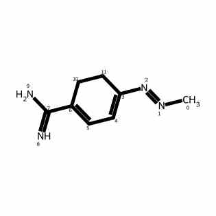 C/N=N/C1=CC=C(C(=N)N)CC1